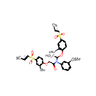 COc1cccc(N(C(=O)COc2ccc(S(=O)(=O)/C=C/C#N)cc2C(C)(C)C)C(Oc2ccc(S(=O)(=O)/C=C/C#N)cc2C(C)(C)C)C(=O)O)c1